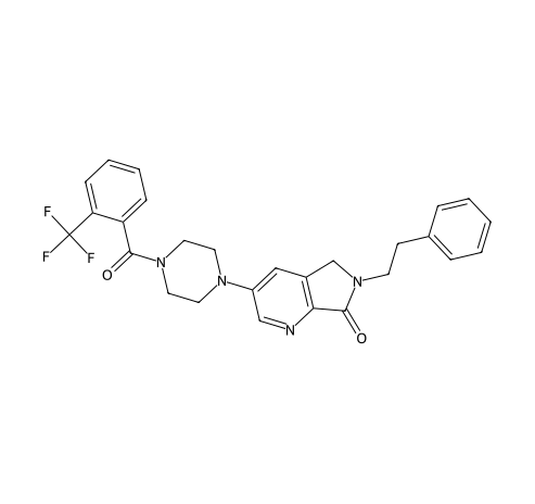 O=C(c1ccccc1C(F)(F)F)N1CCN(c2cnc3c(c2)CN(CCc2ccccc2)C3=O)CC1